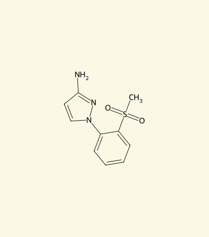 CS(=O)(=O)c1ccccc1-n1ccc(N)n1